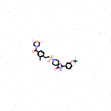 Cc1cc(C(=O)N2C[C@@H](C)O[C@@H](C)C2)ccc1CCS(=O)(=O)N1CCC2(CC1)N=C(c1cccc(OC(F)(F)F)c1)NC2=O